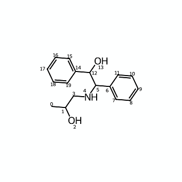 CC(O)CNC(c1ccccc1)C(O)c1ccccc1